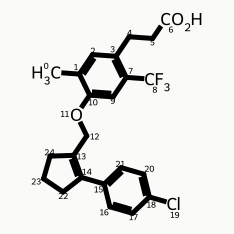 Cc1cc(CCC(=O)O)c(C(F)(F)F)cc1OCC1=C(c2ccc(Cl)cc2)CCC1